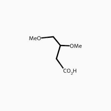 COCC(CC(=O)O)OC